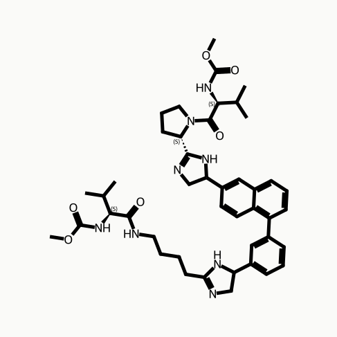 COC(=O)N[C@H](C(=O)NCCCCC1=NCC(c2cccc(-c3cccc4cc(C5CN=C([C@@H]6CCCN6C(=O)[C@@H](NC(=O)OC)C(C)C)N5)ccc34)c2)N1)C(C)C